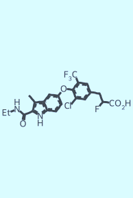 CCNC(=O)c1[nH]c2ccc(Oc3c(Cl)cc(CC(F)C(=O)O)cc3C(F)(F)F)cc2c1C